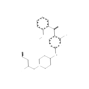 COc1ccccc1C(=O)c1cnc(NC2CCN(CC(C)CC=O)CC2)nc1N